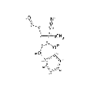 CC(C#N)(CCC=O)C1COc2ccccc2O1